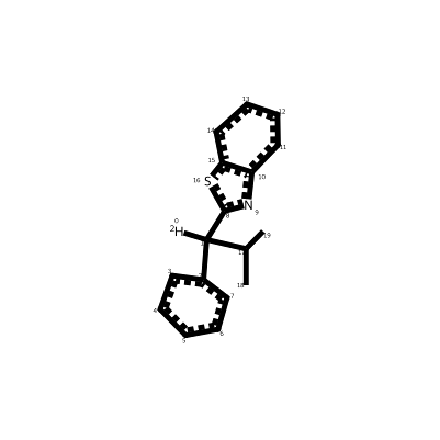 [2H]C(c1ccccc1)(c1nc2ccccc2s1)C(C)C